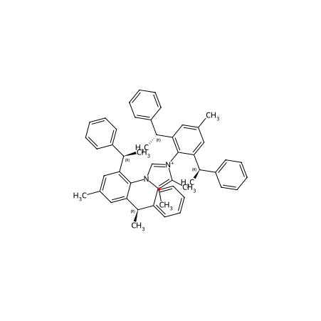 Cc1cc([C@H](C)c2ccccc2)c(-n2c[n+](-c3c([C@H](C)c4ccccc4)cc(C)cc3[C@H](C)c3ccccc3)c(C)c2C)c([C@H](C)c2ccccc2)c1